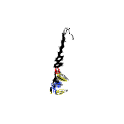 CCCCCCCCC1CCC(c2ccc(OCCC[Si](N=C=S)(N=C=S)N=C=S)cc2)CC1